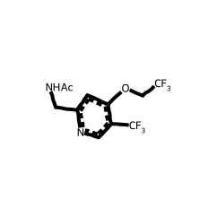 CC(=O)NCc1cc(OCC(F)(F)F)c(C(F)(F)F)cn1